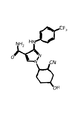 N#CC1CC(O)CCC1n1cc(C(N)=O)c(Nc2ccc(C(F)(F)F)cc2)n1